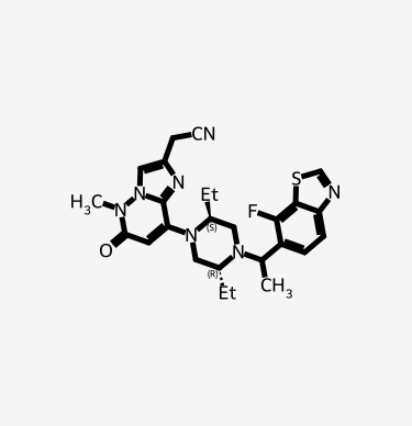 CC[C@H]1CN(C(C)c2ccc3ncsc3c2F)[C@H](CC)CN1c1cc(=O)n(C)n2cc(CC#N)nc12